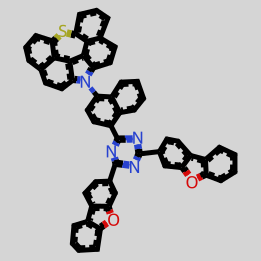 c1ccc2c(c1)oc1cc(-c3nc(-c4ccc5c(c4)oc4ccccc45)nc(-c4ccc(-n5c6ccc7cccc8sc9cccc%10ccc5c(c%109)c6c78)c5ccccc45)n3)ccc12